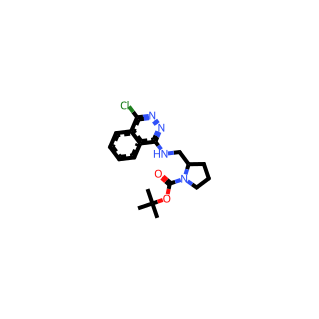 CC(C)(C)OC(=O)N1CCCC1CNc1nnc(Cl)c2ccccc12